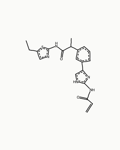 C=CC(=O)Nc1nc(-c2cccc(C(C)C(=O)Nc3ncc(CC)s3)c2)c[nH]1